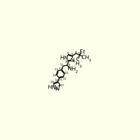 CCC(C)(C)Cc1c[nH]c(C(N)Cc2ccc(-c3cn[nH]c3)cc2)n1